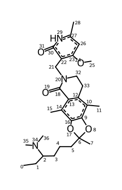 CCC(CCCC1(C)Oc2c(C)c3c(c(C)c2O1)C(=O)N(Cc1c(OC)cc(C)[nH]c1=O)CC3)N(C)C